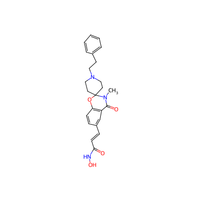 CN1C(=O)c2cc(C=CC(=O)NO)ccc2OC12CCN(CCc1ccccc1)CC2